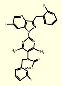 COC(=O)N(Cc1cccc(F)c1)c1c(N)nc(-n2nc(Cc3ccccc3F)c3ncc(F)cc32)nc1N